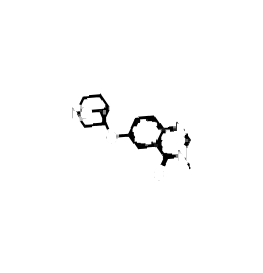 Cn1cnc2ccc(OC3CN4CCC3CC4)cc2c1=O